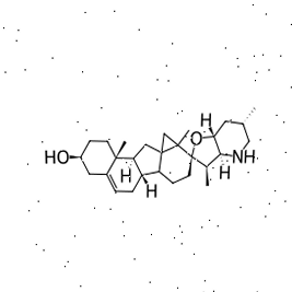 C[C@@H]1CN[C@H]2[C@@H](C)[C@@]3(CCC4[C@@H]5CC=C6C[C@@H](O)CC[C@]6(C)[C@H]5CC45CC53C)O[C@@H]2C1